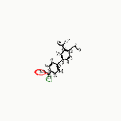 CCc1ccc(-c2ccc(C(=O)Cl)cc2)cc1CC